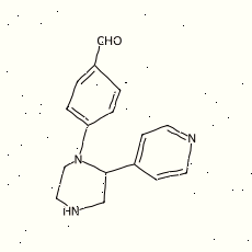 O=Cc1ccc(N2CCNCC2c2ccncc2)cc1